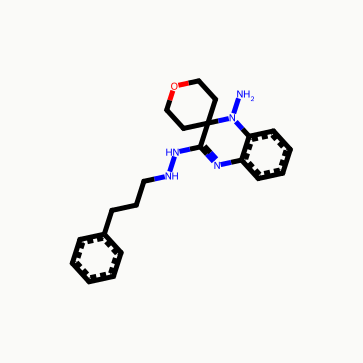 NN1c2ccccc2N=C(NNCCCc2ccccc2)C12CCOCC2